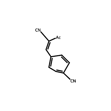 [C-]#[N+]C(=Cc1ccc(C#N)cc1)C(C)=O